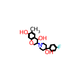 Cc1cc2c(cc1O)OCC(N1CCC(O)(c3ccc(F)cc3)CC1)C2O